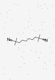 CC(C)(C#N)CCCCCCC(C)(C)C#N